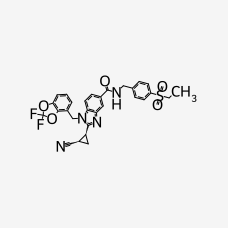 CCS(=O)(=O)c1ccc(CNC(=O)c2ccc3c(c2)nc([C@H]2C[C@H]2C#N)n3Cc2cccc3c2OC(F)(F)O3)cc1